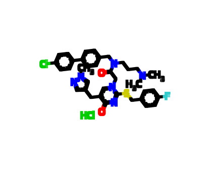 CN(C)CCCN(Cc1ccc(-c2ccc(Cl)cc2)cc1)C(=O)Cn1cc(Cc2cnn(C)c2)c(=O)nc1SCc1ccc(F)cc1.Cl